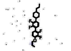 C/C=C\Oc1ccc(-c2ccc(C3CCC(CCC)CC3)c(F)c2F)c(F)c1F